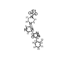 CCS(=O)(=O)N1CCN(c2cncc(-c3nnc(-c4ccccc4C)o3)n2)CC1